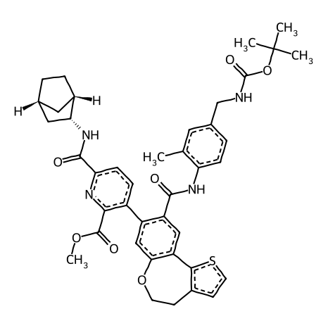 COC(=O)c1nc(C(=O)N[C@@H]2C[C@@H]3CC[C@H]2C3)ccc1-c1cc2c(cc1C(=O)Nc1ccc(CNC(=O)OC(C)(C)C)cc1C)-c1sccc1CCO2